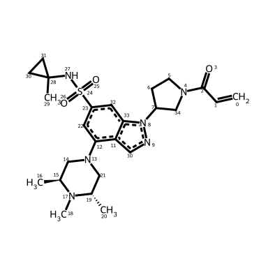 C=CC(=O)N1CCC(n2ncc3c(N4C[C@H](C)N(C)[C@@H](C)C4)cc(S(=O)(=O)NC4(C)CC4)cc32)C1